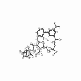 COC(=O)CNC(=O)c1cc(-c2cccc(CN3O[C@@H](CO)[C@@H]([C@H](C)O)[C@H]3C(=O)N[C@H]3C[C@H]4C[C@@H]([C@@H]3C)C4(C)C)c2OC)cc(N(C)C)c1